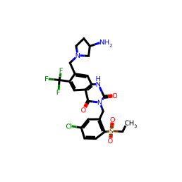 CCS(=O)(=O)c1ccc(Cl)cc1Cn1c(=O)[nH]c2cc(CN3CCC(N)C3)c(C(F)(F)F)cc2c1=O